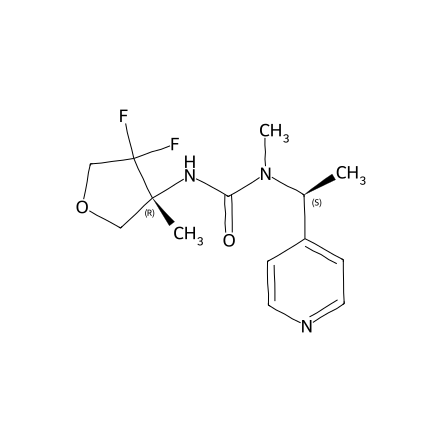 C[C@@H](c1ccncc1)N(C)C(=O)N[C@]1(C)COCC1(F)F